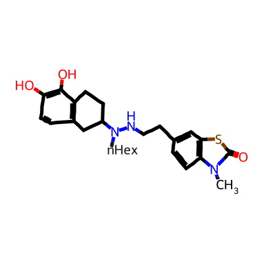 CCCCCCN(NCCc1ccc2c(c1)sc(=O)n2C)C1CCc2c(ccc(O)c2O)C1